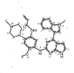 C=CC(=O)Nc1cc(Nc2nc(-c3cn(C)c4ccccc34)c3cc[nH]c3n2)c(OC)cc1N1CCN(C)CC1